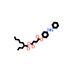 CCCCCC(CCC)C(=O)OC(=O)/C=C/C(=O)Oc1ccc(N=Nc2ccccc2)cc1